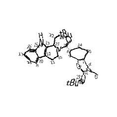 CN(C[C@H]1CC[C@H](C(=O)N2CCc3c([nH]c4ccccc34)C2CC(C)(C)C)CC1)C(=O)OC(C)(C)C